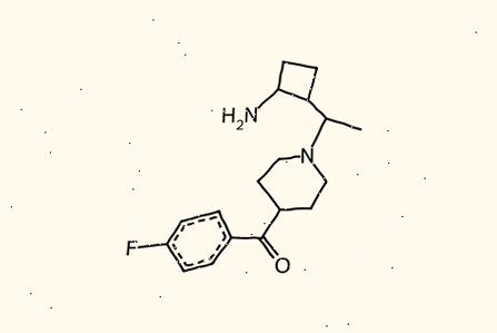 CC(C1CCC1N)N1CCC(C(=O)c2ccc(F)cc2)CC1